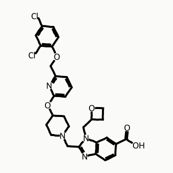 O=C(O)c1ccc2nc(CN3CCC(Oc4cccc(COc5ccc(Cl)cc5Cl)n4)CC3)n(CC3CCO3)c2c1